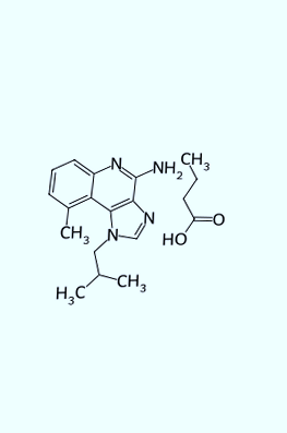 CCCC(=O)O.Cc1cccc2nc(N)c3ncn(CC(C)C)c3c12